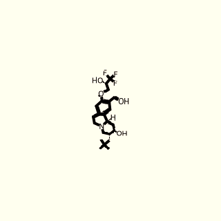 CC(C)(C)C[C@@H]1CN2CCc3cc(OC[C@H](O)C(F)(F)F)c(CO)cc3[C@H]2C[C@H]1O